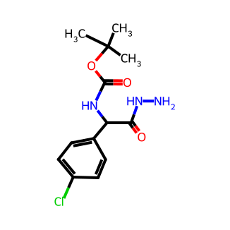 CC(C)(C)OC(=O)NC(C(=O)NN)c1ccc(Cl)cc1